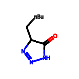 CCCCCC1N=NNC1=O